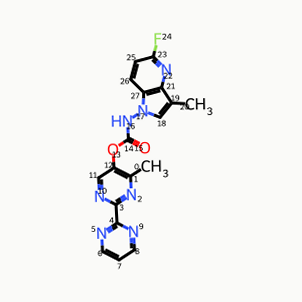 Cc1nc(-c2ncccn2)ncc1OC(=O)Nn1cc(C)c2nc(F)ccc21